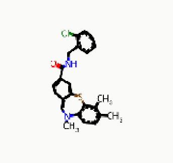 Cc1ccc2c(c1C)SC1=CC(C(=O)NCc3ccccc3Cl)=CCC1=CN2C